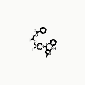 Cc1cc2c(s1)Nc1ccccc1N=C2N1CC[N+](C)(COC(=O)[C@H](C)OC(=O)c2ccccc2)CC1.[I-]